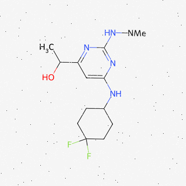 CNNc1nc(NC2CCC(F)(F)CC2)cc(C(C)O)n1